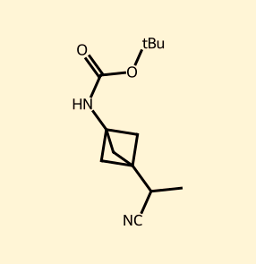 CC(C#N)C12CC(NC(=O)OC(C)(C)C)(C1)C2